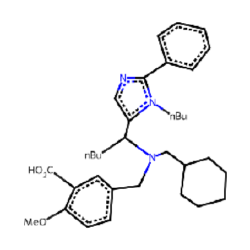 CCCCC(c1cnc(-c2ccccc2)n1CCCC)N(Cc1ccc(OC)c(C(=O)O)c1)CC1CCCCC1